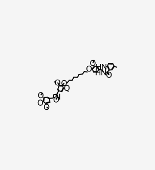 COc1cc(C2NC(=O)c3cc(C)ccc3N2)ccc1OCCCCCCCCCOc1c(OC)cc(C2=NOC(c3cc(OC)c(OC)c(OC)c3)C2)cc1OC